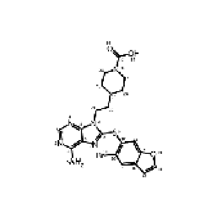 Nc1ncnc2c1nc(Sc1cc3occc3cc1Br)n2CCC1CCN(C(=O)O)CC1